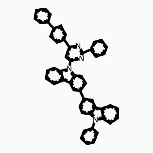 c1ccc(-c2ccc(-c3cc(-n4c5ccccc5c5cc(-c6ccc7c(c6)c6ccccc6n7-c6ccccc6)ccc54)nc(-c4ccccc4)n3)cc2)cc1